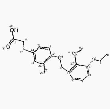 CCOc1cccc(COc2ccc(CCC(=O)O)cc2F)c1OC